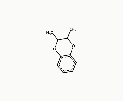 CC1Oc2ccccc2OC1C